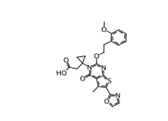 COc1ccccc1CCOc1nc2sc(-c3ncco3)c(C)c2c(=O)n1C1(CC(=O)O)CC1